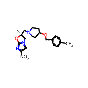 C[C@]1(CN2CCC(OCc3ccc(C(F)(F)F)cc3)CC2)Cn2cc([N+](=O)[O-])nc2O1